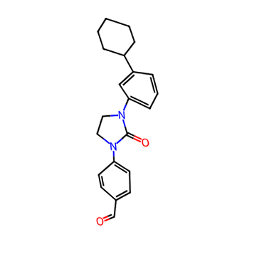 O=Cc1ccc(N2CCN(c3cccc(C4CCCCC4)c3)C2=O)cc1